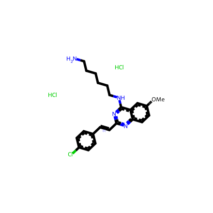 COc1ccc2nc(/C=C/c3ccc(Cl)cc3)nc(NCCCCCCN)c2c1.Cl.Cl